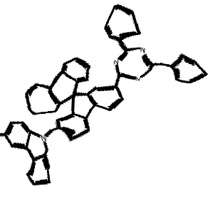 C1=CC2=C(CC1)C1(c3ccccc32)c2cc(-c3nc(-c4ccccc4)nc(-c4ccccc4)n3)ccc2-c2ccc(-n3c4ccccc4c4ccccc43)cc21